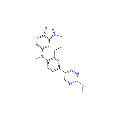 CCc1cc(-c2cnc(SC)nc2)ccc1N(C)c1cc2c(cn1)ncn2C